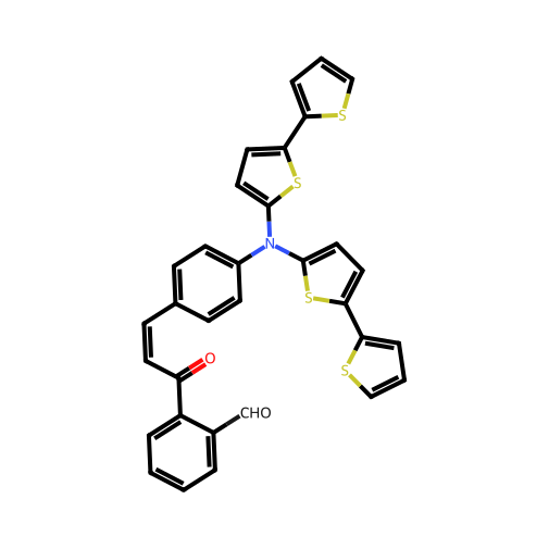 O=Cc1ccccc1C(=O)/C=C\c1ccc(N(c2ccc(-c3cccs3)s2)c2ccc(-c3cccs3)s2)cc1